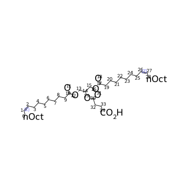 CCCCCCCC/C=C\CCCCCCCC(=O)OCC(COC(=O)CCCCCCC/C=C\CCCCCCCC)OC(=O)CCC(=O)O